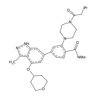 CNC(=O)c1ccc(-c2cc(OC3CCOCC3)c3c(C)n[nH]c3c2)cc1N1CCN(C(=O)CC(C)C)CC1